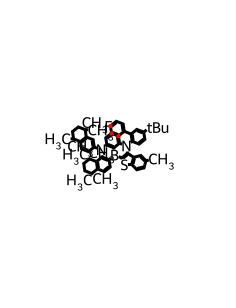 Cc1ccc2sc3c(c2c1)N(c1ccc(C(C)(C)C)cc1-c1ccccc1)c1cc(F)cc2c1B3c1ccc3c(c1N2c1ccc2c(c1)C(C)(C)CCC2(C)C)C(C)(C)CCC3(C)C